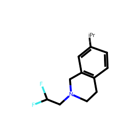 CC(C)c1ccc2c(c1)CN(CC(F)F)CC2